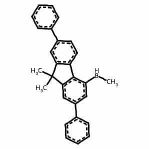 CBc1cc(-c2ccccc2)cc2c1-c1ccc(-c3ccccc3)cc1C2(C)C